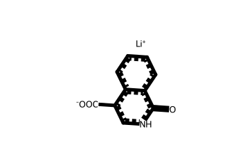 O=C([O-])c1c[nH]c(=O)c2ccccc12.[Li+]